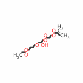 C=CC(=O)OCCCCOCC(O)COC(=O)CCOC(=O)C(C)CC